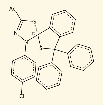 CC(=O)C1=NN(c2ccc(Cl)cc2)[C@]2(S1)SC(c1ccccc1)(c1ccccc1)c1ccccc12